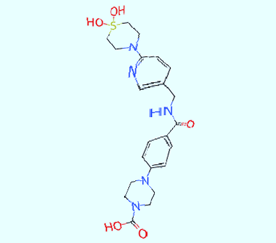 O=C(NCc1ccc(N2CCS(O)(O)CC2)nc1)c1ccc(N2CCN(C(=O)O)CC2)cc1